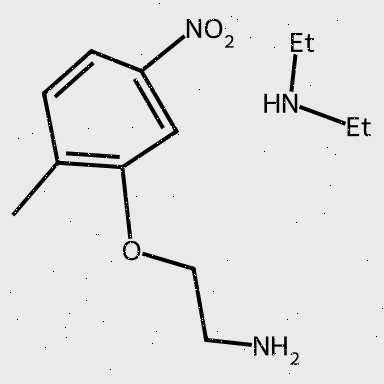 CCNCC.Cc1ccc([N+](=O)[O-])cc1OCCN